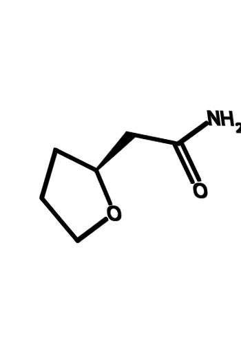 NC(=O)C[C@@H]1CCCO1